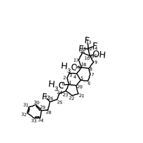 CC12CCC3C(CCC4C[C@@](O)(C(F)(F)F)CCC43C)C1CCC2CCC(F)Cc1ccccc1